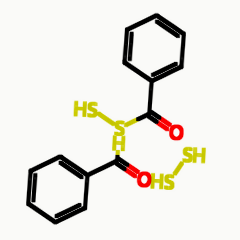 O=C(c1ccccc1)[SH](S)C(=O)c1ccccc1.SS